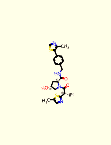 Cc1cnc([C@H](C(=O)N2C[C@H](O)C[C@H]2C(=O)NCc2ccc(-c3scnc3C)cc2)C(C)C)s1